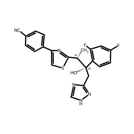 C[C@@H](c1nc(-c2ccc(C#N)cc2)cs1)[C@](O)(Cc1nc[nH]n1)c1ccc(F)cc1F